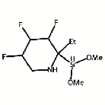 CCC1([SiH](OC)OC)NCC(F)C(F)C1F